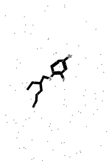 CCCCC(CC)CSc1ccc(Br)cc1F